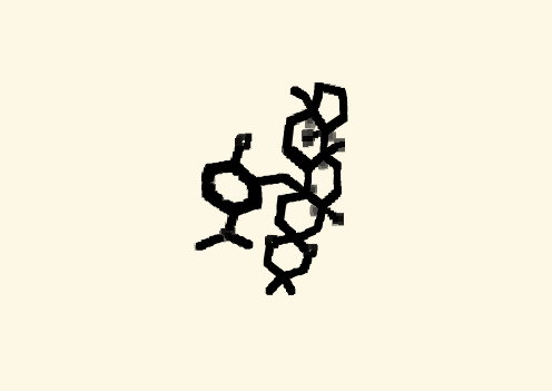 CN(C)c1ccc(Cl)c(C[C@]23CCC4(C[C@@H]2CC[C@@H]2C3=CC[C@]3(C)CCC[C@@H]23)OCC(C)(C)CO4)c1